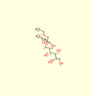 C=C.CCOCC.OC[C@@H](O)[C@@H](O)[C@H](O)[C@@H](O)CO